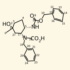 CC1(O)CC[C@H](NC(=O)OCc2ccccc2)[C@H](N(Cc2ccccc2)C(=O)O)C1